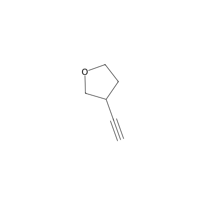 C#CC1CCOC1